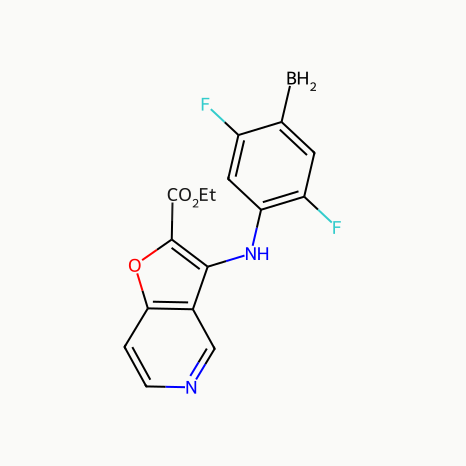 Bc1cc(F)c(Nc2c(C(=O)OCC)oc3ccncc23)cc1F